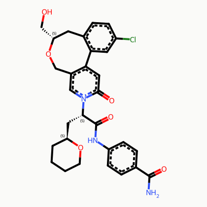 NC(=O)c1ccc(NC(=O)[C@H](C[C@@H]2CCCCO2)n2cc3c(cc2=O)-c2cc(Cl)ccc2C[C@@H](CO)OC3)cc1